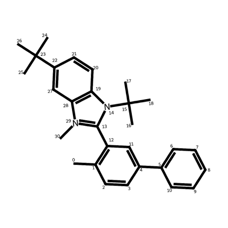 Cc1ccc(-c2ccccc2)cc1-c1n(C(C)(C)C)c2ccc(C(C)(C)C)cc2[n+]1C